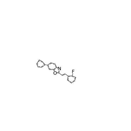 Fc1ccccc1/C=C/c1nc2ccc(-c3ccccc3)cc2o1